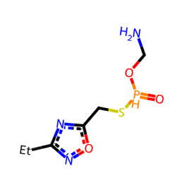 CCc1noc(CS[PH](=O)OCN)n1